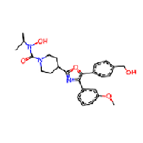 COc1cccc(-c2nc(C3CCN(C(=O)N(O)C(C)C)CC3)oc2-c2ccc(CO)cc2)c1